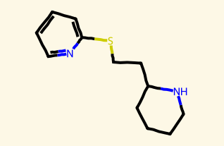 c1ccc(SCCC2CCCCN2)nc1